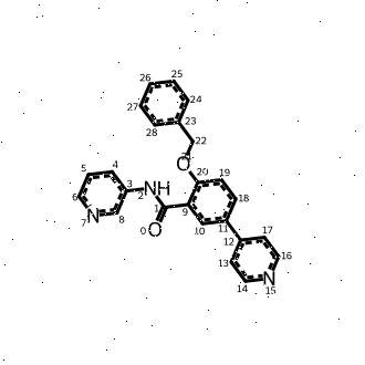 O=C(Nc1cccnc1)c1cc(-c2ccncc2)ccc1OCc1ccccc1